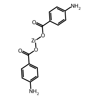 Nc1ccc(C(=O)[O][Zr][O]C(=O)c2ccc(N)cc2)cc1